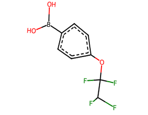 OB(O)c1ccc(OC(F)(F)C(F)F)cc1